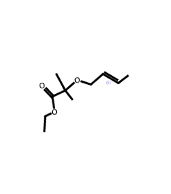 C/C=C/COC(C)(C)C(=O)OCC